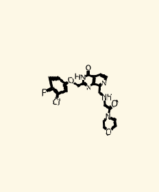 O=C(CNCc1nccc2c(=O)[nH]c(COc3ccc(F)c(Cl)c3)nc12)N1CCOCC1